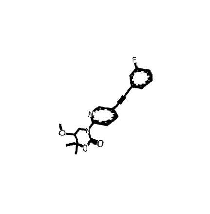 COC1CN(c2ccc(C#Cc3cccc(F)c3)cn2)C(=O)OC1(C)C